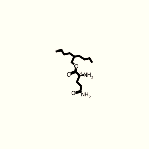 CCCCC(CCCC)COC(=O)[C@@H](N)CCC(N)=O